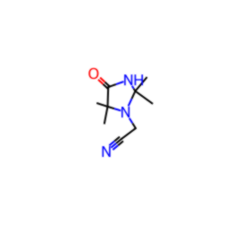 CC1(C)NC(=O)C(C)(C)N1CC#N